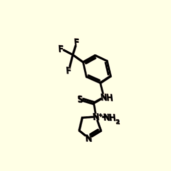 N[N+]1(C(=S)Nc2cccc(C(F)(F)F)c2)C=NCC1